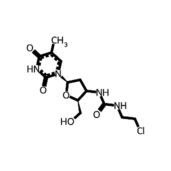 Cc1cn([C@H]2CC(NC(=O)NCCCl)[C@@H](CO)O2)c(=O)[nH]c1=O